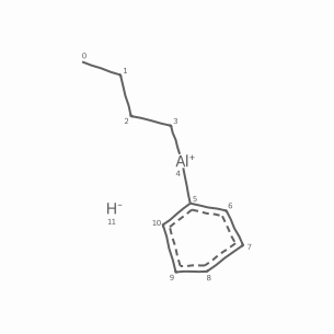 CCC[CH2][Al+][c]1ccccc1.[H-]